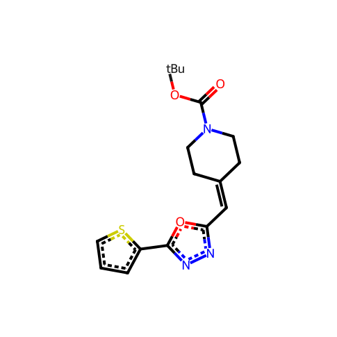 CC(C)(C)OC(=O)N1CCC(=Cc2nnc(-c3cccs3)o2)CC1